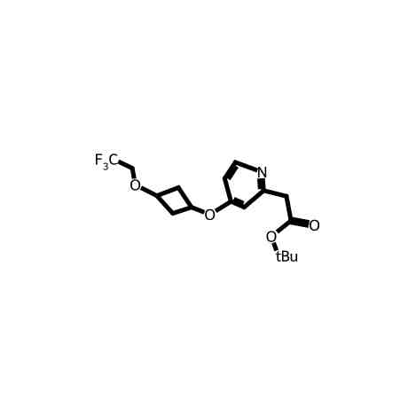 CC(C)(C)OC(=O)Cc1cc(OC2CC(OCC(F)(F)F)C2)ccn1